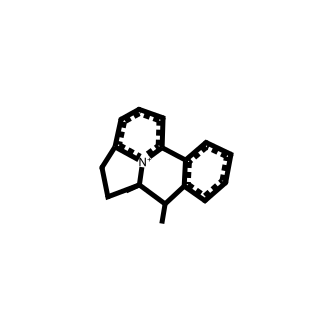 CC1c2ccccc2-c2cccc3[n+]2C1(C)CC3